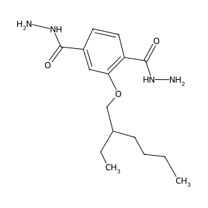 CCCCC(CC)COc1cc(C(=O)NN)ccc1C(=O)NN